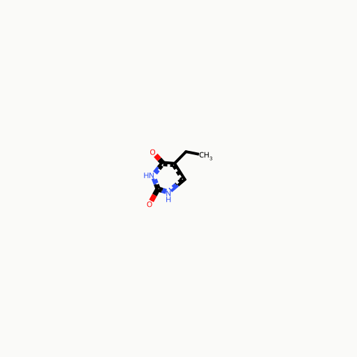 CCc1c[nH]c(=O)[nH]c1=O